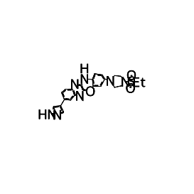 CCS(=O)(=O)N1CCN(c2ccc(Nc3nc4ccc(-c5cn[nH]c5)cc4n(C)c3=O)cc2)CC1